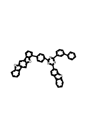 c1ccc(-c2cccc(-c3nc(-c4ccc(-c5cccc6c5oc5cc7c(cc56)oc5ccccc57)cc4)nc(-c4ccc5c(c4)sc4ccccc45)n3)c2)cc1